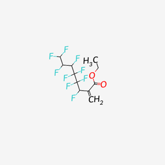 C=C(C(=O)OCC)C(F)C(F)(F)C(F)(F)C(F)C(F)C(F)F